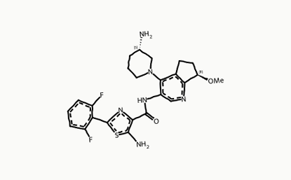 CO[C@@H]1CCc2c1ncc(NC(=O)c1nc(-c3c(F)cccc3F)sc1N)c2N1CCC[C@H](N)C1